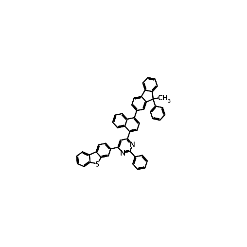 CC1(c2ccccc2)c2ccccc2-c2ccc(-c3ccc(-c4cc(-c5ccc6c(c5)sc5ccccc56)nc(-c5ccccc5)n4)c4ccccc34)cc21